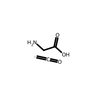 NCC(=O)O.[C]=C=O